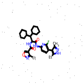 CCc1nocc1C(=O)NC(C(=O)Nc1ccc(-c2c(C)n[nH]c2CC)c(F)n1)C(C1CCCCC1)C1CCCCC1